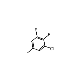 Cc1cc(F)c(F)c(Cl)c1